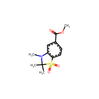 COC(=O)c1ccc2c(c1)N(C)C(C)(C)S2(=O)=O